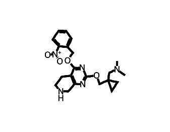 CN(C)CC1(COc2nc3c(c(OCc4ccccc4[N+](=O)[O-])n2)CCNC3)CC1